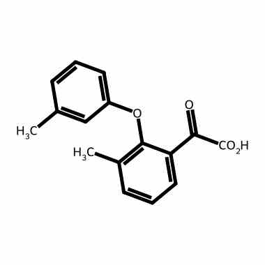 Cc1cccc(Oc2c(C)cccc2C(=O)C(=O)O)c1